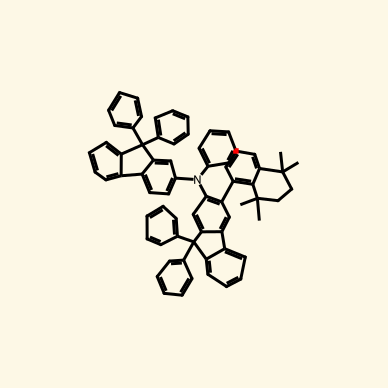 CC1(C)CCC(C)(C)c2c(-c3cc4c(cc3N(c3ccccc3)c3ccc5c(c3)C(c3ccccc3)(c3ccccc3)c3ccccc3-5)C(c3ccccc3)(c3ccccc3)c3ccccc3-4)cccc21